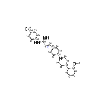 COc1ccccc1C1CCN(c2ccc(/C=C/C(=N)Nc3ccc(Cl)cc3)cc2)CC1